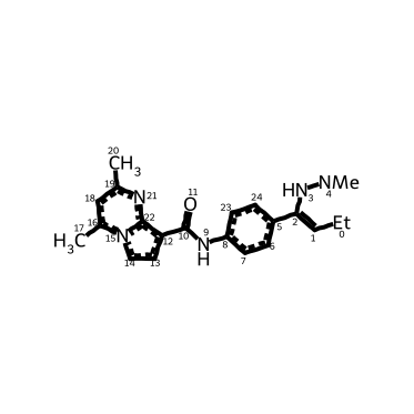 CC/C=C(\NNC)c1ccc(NC(=O)c2ccn3c(C)cc(C)nc23)cc1